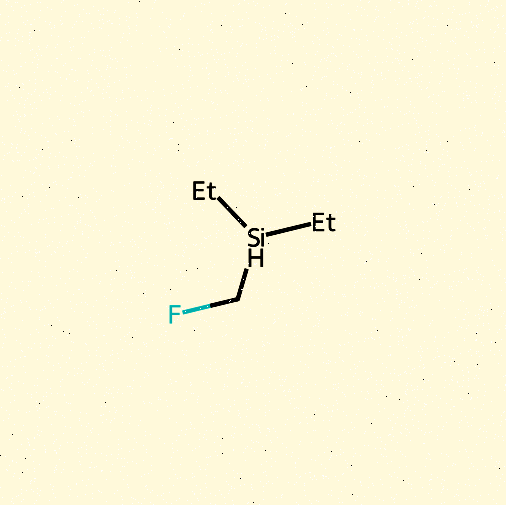 CC[SiH](CC)CF